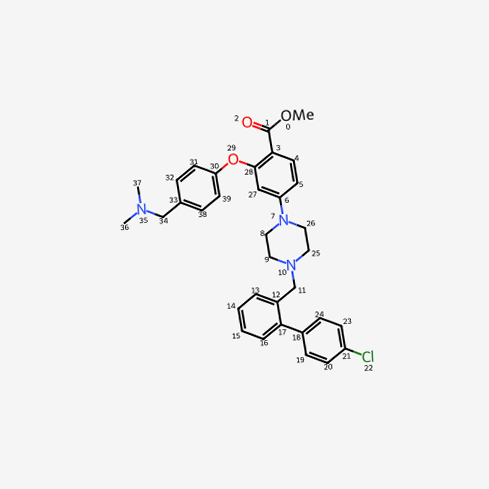 COC(=O)c1ccc(N2CCN(Cc3ccccc3-c3ccc(Cl)cc3)CC2)cc1Oc1ccc(CN(C)C)cc1